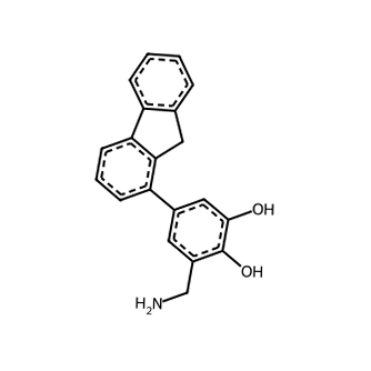 NCc1cc(-c2cccc3c2Cc2ccccc2-3)cc(O)c1O